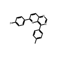 Cc1ccc(-c2ncnc3ccc(-c4ccc(F)cc4)nc23)cc1